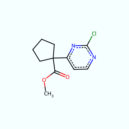 COC(=O)C1(c2ccnc(Cl)n2)CCCC1